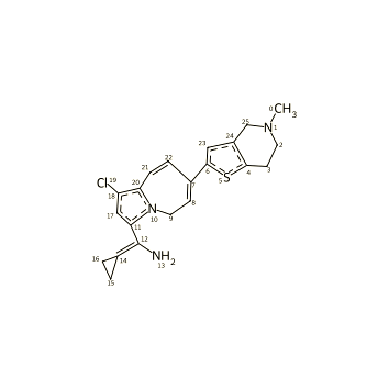 CN1CCc2sc(C3=CCn4c(C(N)=C5CC5)cc(Cl)c4C=C3)cc2C1